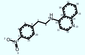 O=[N+]([O-])c1ccc(CCNc2ccnc3ccccc23)cc1